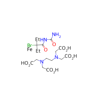 CCC(Br)(CC)C(=O)NC(N)=O.O=C(O)CN(CCN(CC(=O)O)CC(=O)O)CC(=O)O.[Fe]